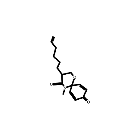 C=CCCCCC1COC2(C=CC(=O)C=C2)N(C)C1=O